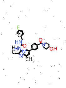 CCc1nc2c(C)cc(-c3ccc(C(=O)N4CCC(O)CC4)cc3)cn2c1NC(=O)NCc1ccc(F)cc1